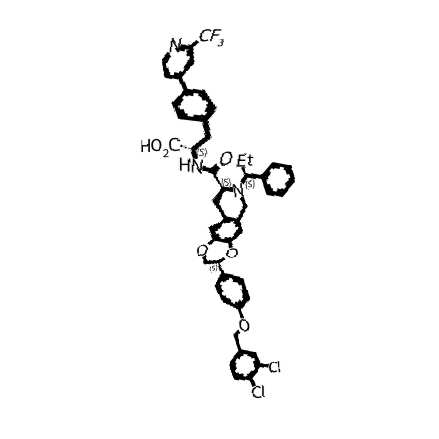 CC[C@@H](c1ccccc1)N1Cc2cc3c(cc2C[C@H]1C(=O)N[C@@H](Cc1ccc(-c2ccnc(C(F)(F)F)c2)cc1)C(=O)O)OC[C@H](c1ccc(OCc2ccc(Cl)c(Cl)c2)cc1)O3